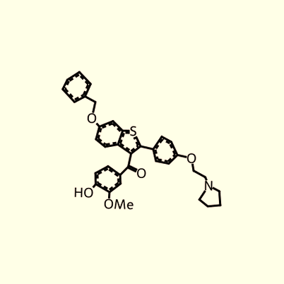 COc1cc(C(=O)c2c(-c3ccc(OCCN4CCCC4)cc3)sc3cc(OCc4ccccc4)ccc23)ccc1O